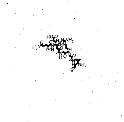 C=C(CN[C@@H](C)C(=O)CN[C@@H](CCCNC(N)N)C(=O)CN[C@@H](C)C(=O)CC(=O)[C@H](CCC(=O)O)NC(=O)[C@@H](N)CCC(N)=O)[C@@H](N)CCSC